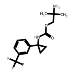 CC(C)(N)COC(=O)NC1(c2cccc(C(F)(F)F)c2)CC1